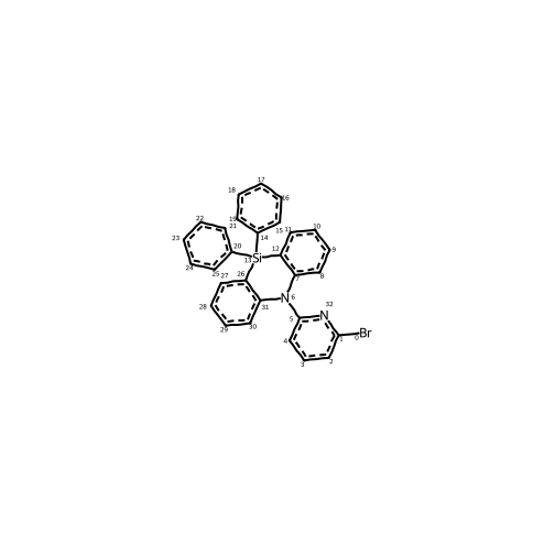 Brc1cccc(N2c3ccccc3[Si](c3ccccc3)(c3ccccc3)c3ccccc32)n1